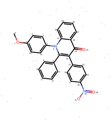 COc1ccc(-n2c(-c3ccccc3)c(-c3ccc([N+](=O)[O-])cc3)c(=O)c3ccccc32)cc1